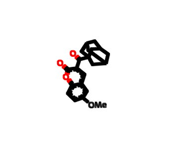 COc1ccc2oc(=O)c(C(=O)C34CC5CC(CC(C5)C3)C4)cc2c1